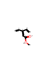 C=CC(C=C)=CC(=O)OC